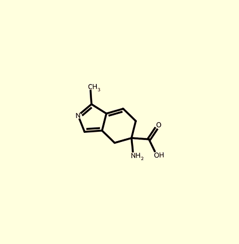 CC1=NC=C2CC(N)(C(=O)O)CC=C21